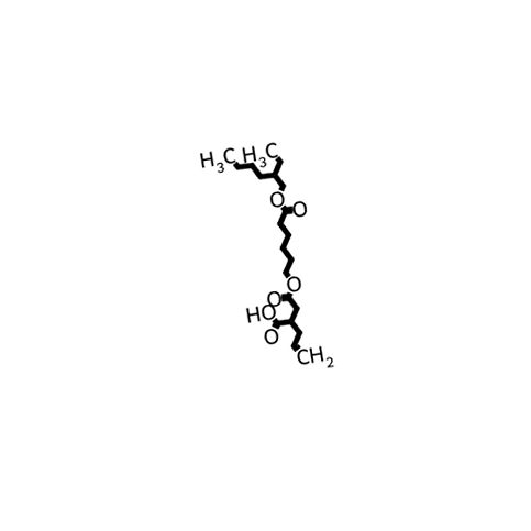 C=CCC(CC(=O)OCCCCCC(=O)OCC(CC)CCCC)C(=O)O